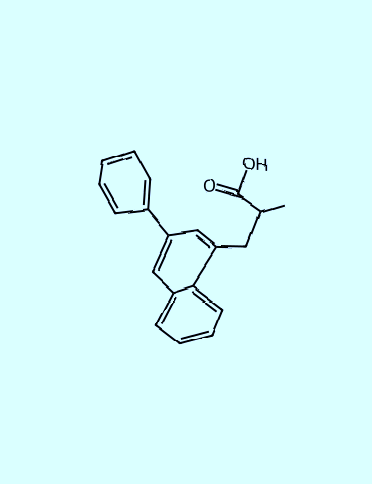 CC(Cc1cc(-c2ccccc2)cc2ccccc12)C(=O)O